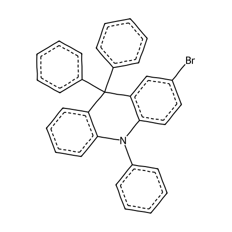 Brc1ccc2c(c1)C(c1ccccc1)(c1ccccc1)c1ccccc1N2c1ccccc1